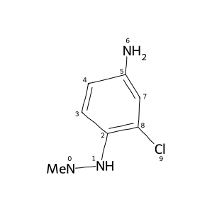 CNNc1ccc(N)cc1Cl